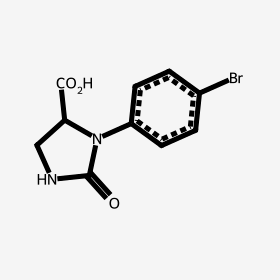 O=C(O)C1CNC(=O)N1c1ccc(Br)cc1